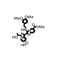 CCCOc1ccn2c(C(C)O)nc(-c3nc4ccc(C(=O)OC)cn4c3NCCc3ccc(OC)c(OC)c3)c2c1